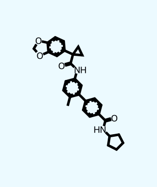 Cc1ccc(NC(=O)C2(c3ccc4c(c3)OCO4)CC2)cc1-c1ccc(C(=O)NC2CCCC2)cc1